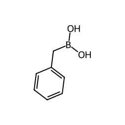 OB(O)Cc1ccccc1